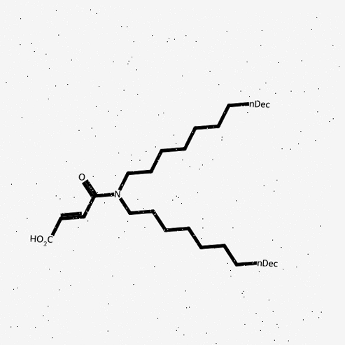 CCCCCCCCCCCCCCCCCN(CCCCCCCCCCCCCCCCC)C(=O)/C=C/C(=O)O